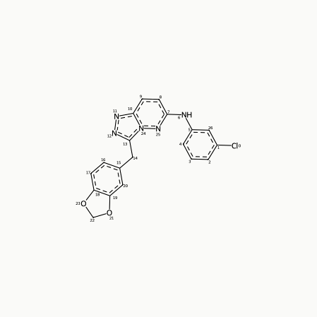 Clc1cccc(Nc2ccc3nnc(Cc4ccc5c(c4)OCO5)n3n2)c1